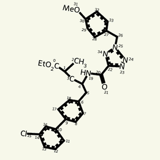 CCOC(=O)C(C)CC(Cc1ccc(-c2cccc(Cl)c2)cc1)NC(=O)c1nnn(Cc2ccc(OC)cc2)n1